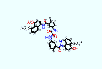 Cc1ccc(NC(=O)C(=O)Nc2ccc(C)c(C(=O)Nc3ccc(O)c4c(S(=O)(=O)O)cccc34)c2)cc1C(=O)Nc1ccc(O)c2c(S(=O)(=O)O)cccc12